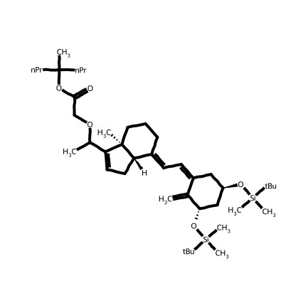 C=C1/C(=C\C=C2/CCC[C@]3(C)C(C(C)OCC(=O)OC(C)(CCC)CCC)=CC[C@@H]23)C[C@@H](O[Si](C)(C)C(C)(C)C)C[C@@H]1O[Si](C)(C)C(C)(C)C